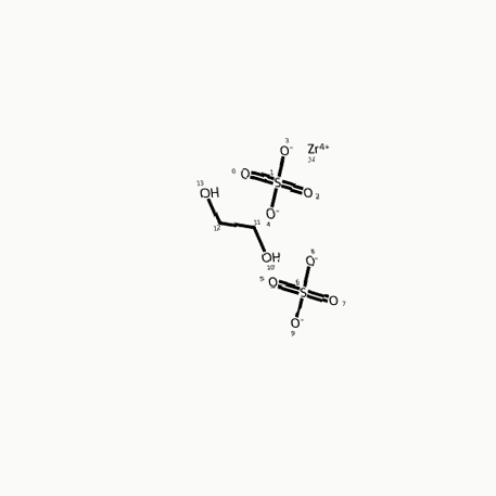 O=S(=O)([O-])[O-].O=S(=O)([O-])[O-].OCCO.[Zr+4]